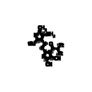 CCC(CC)C(=O)n1c(N=Nc2c(C(C)(C)C)nn(C)c2N)nc(C#N)c1C#N